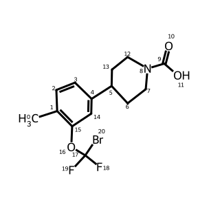 Cc1ccc(C2CCN(C(=O)O)CC2)cc1OC(F)(F)Br